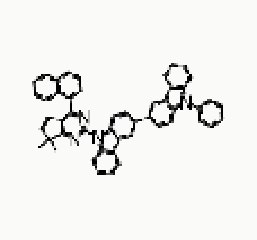 CC1(C)C=Cc2c(-c3cccc4ccccc34)nc(-n3c4ccccc4c4cc(-c5ccc6c(c5)c5ccccc5n6-c5ccccc5)ccc43)nc21